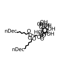 CCCCCCCCCCCCCCCC(=O)OC[C@H](COP(=O)(O)O[C@H]1[C@H](O)[C@@H](OP(=O)(O)O)[C@H](O)[C@@H](O)[C@H]1O)OC(=O)CCCCCCCCCCCCCCC